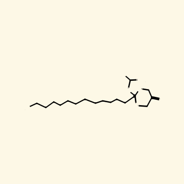 CCCCCCCCCCCCCC1(OC(C)C)OCC(=O)CO1